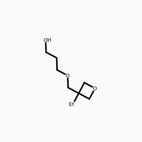 CCC1(COCCCO)COC1